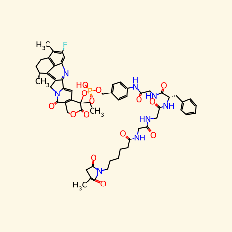 CC[C@@]1(OP(=O)(O)OCc2ccc(NC(=O)CNC(=O)[C@H](Cc3ccccc3)NC(=O)CNC(=O)CNC(=O)CCCCCN3C(=O)CC(C)C3=O)cc2)C(=O)OCc2c1cc1n(c2=O)Cc2c-1nc1cc(F)c(C)c3c1c2[C@@H](C)CC3